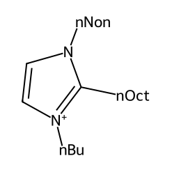 CCCCCCCCCn1cc[n+](CCCC)c1CCCCCCCC